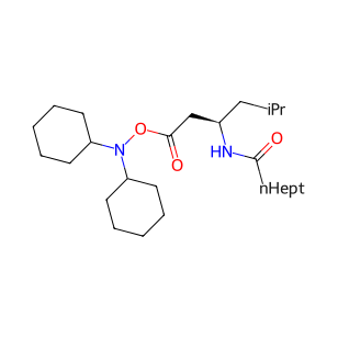 CCCCCCCC(=O)N[C@@H](CC(=O)ON(C1CCCCC1)C1CCCCC1)CC(C)C